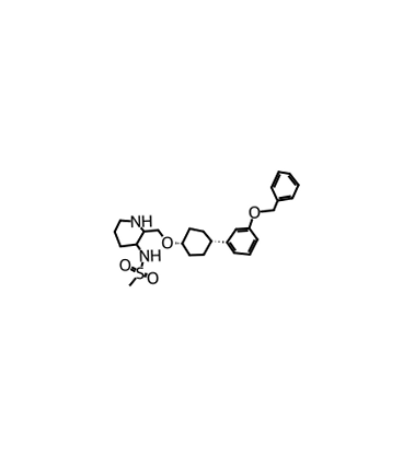 CS(=O)(=O)NC1CCCNC1CO[C@H]1CC[C@@H](c2cccc(OCc3ccccc3)c2)CC1